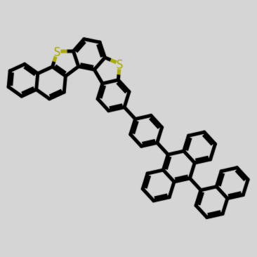 c1ccc2c(-c3c4ccccc4c(-c4ccc(-c5ccc6c(c5)sc5ccc7sc8c9ccccc9ccc8c7c56)cc4)c4ccccc34)cccc2c1